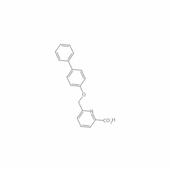 O=C(O)c1cccc(COc2ccc(-c3ccccc3)cc2)n1